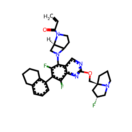 C=CC(=O)N1CCC2[C@H]1CN2c1c(F)c(-c2cccc3c2CCCC3)c(F)c2nc(OC[C@@]34CCCN3C[C@H](F)C4)ncc12